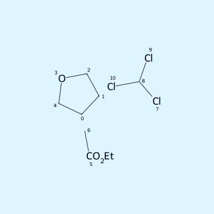 C1CCOC1.CCOC(C)=O.ClC(Cl)Cl